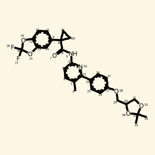 Cc1ccc(NC(=O)C2(c3ccc4c(c3)OC(F)(F)O4)CC2)nc1-c1ccc(OCC2COC(C)(C)O2)cc1